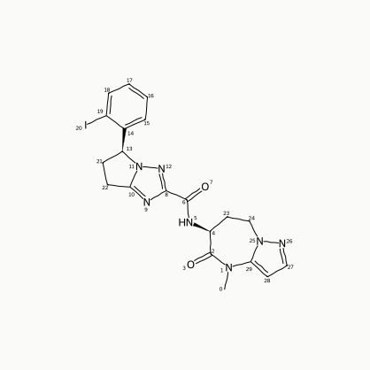 CN1C(=O)[C@@H](NC(=O)c2nc3n(n2)[C@H](c2ccccc2I)CC3)CCn2nccc21